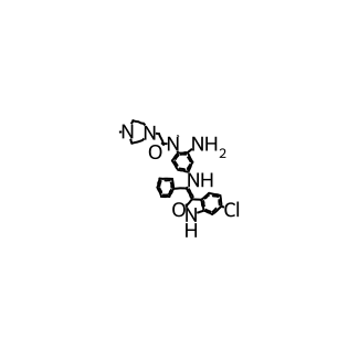 CN1CCN(CC(=O)N(C)c2ccc(NC(=C3C(=O)Nc4cc(Cl)ccc43)c3ccccc3)cc2N)CC1